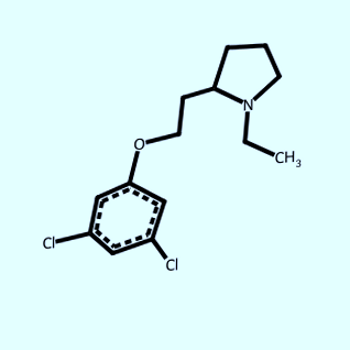 CCN1CCCC1CCOc1cc(Cl)cc(Cl)c1